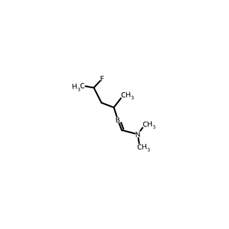 CC(F)CC(C)/B=C/N(C)C